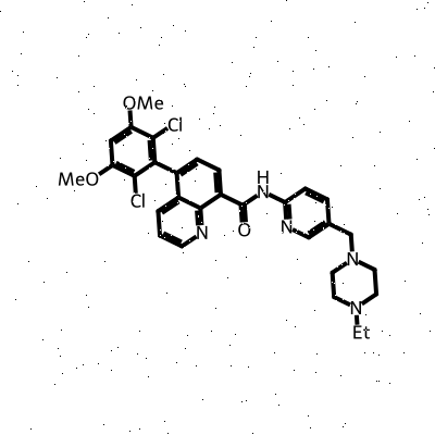 CCN1CCN(Cc2ccc(NC(=O)c3ccc(-c4c(Cl)c(OC)cc(OC)c4Cl)c4cccnc34)nc2)CC1